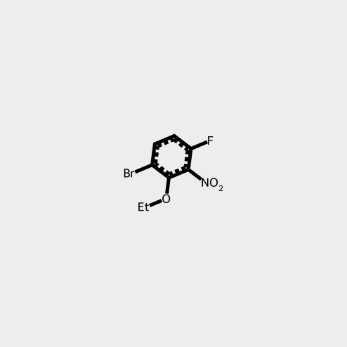 CCOc1c(Br)ccc(F)c1[N+](=O)[O-]